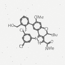 CNC(=O)c1nn(-c2cc(Cl)cc(Cl)c2)c2c1C(C(C)(C)C)Oc1cc(OC)c(-c3cccc(CO)c3F)cc1-2